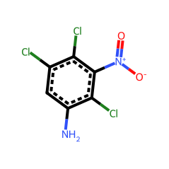 Nc1cc(Cl)c(Cl)c([N+](=O)[O-])c1Cl